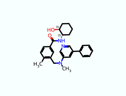 Cc1ccc(C(=O)N[C@H]2CCCC[C@@H]2O)cc1CN(C)c1cncc(-c2ccccc2)c1